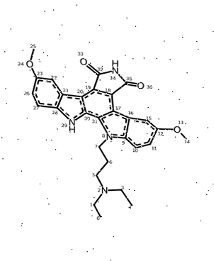 CCN(CC)CCCn1c2ccc(OC)cc2c2c3c(c4c5cc(OC)ccc5[nH]c4c21)C(=O)NC3=O